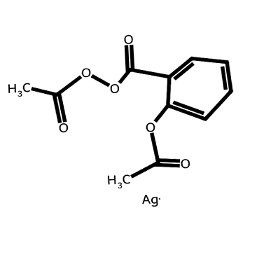 CC(=O)OOC(=O)c1ccccc1OC(C)=O.[Ag]